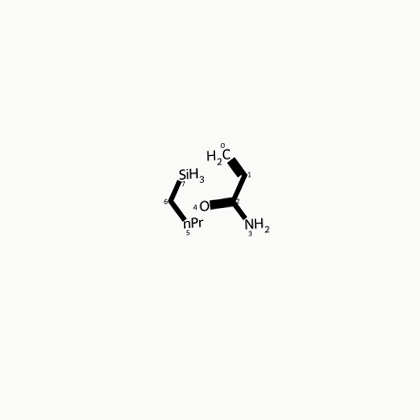 C=CC(N)=O.CCCC[SiH3]